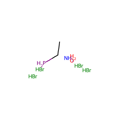 Br.Br.Br.Br.CCP.N.O